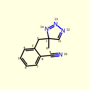 CC1(Cc2ccccc2C#N)C=NN=N1